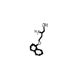 NC(CO)CCOc1cccc2ccccc12